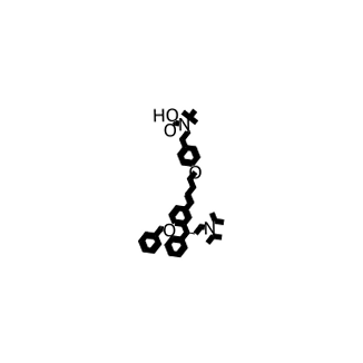 CC(C)N(CC[C@H](c1ccccc1)c1cc(/C=C/CCOc2ccc(CCN(C(=O)O)C(C)(C)C)cc2)ccc1OCc1ccccc1)C(C)C